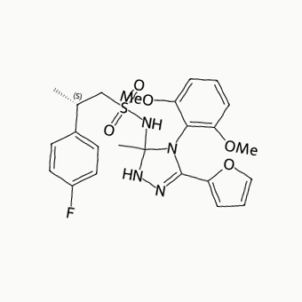 COc1cccc(OC)c1N1C(c2ccco2)=NNC1(C)NS(=O)(=O)C[C@@H](C)c1ccc(F)cc1